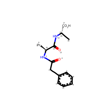 CC(C)[C@H](NC(=O)Cc1ccccc1)C(=O)N[C@@H](C)C(=O)O